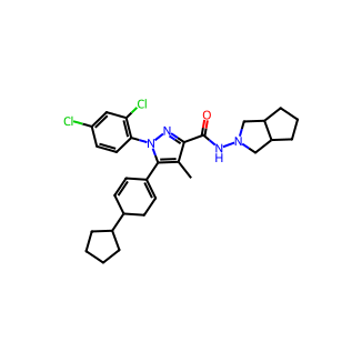 Cc1c(C(=O)NN2CC3CCCC3C2)nn(-c2ccc(Cl)cc2Cl)c1C1=CCC(C2CCCC2)C=C1